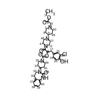 CCOC(=O)CN1CCC(N2CCN(C(=O)[C@@H](Cc3ccc(O)c(Cl)c3)OC(=O)N3CCC(N4CCc5ccccc5NC4=O)CC3)CC2)CC1